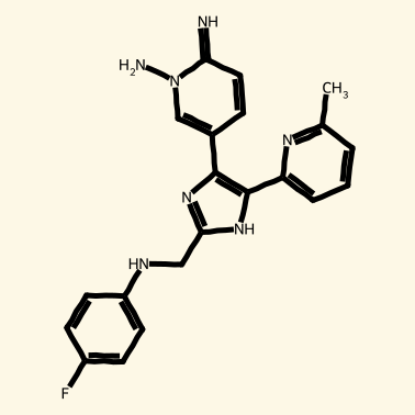 Cc1cccc(-c2[nH]c(CNc3ccc(F)cc3)nc2-c2ccc(=N)n(N)c2)n1